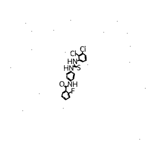 O=C(Nc1ccc(NC(=S)Nc2cccc(Cl)c2Cl)cc1)c1ccccc1F